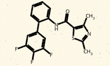 Cc1nc(C)c(C(=O)Nc2ccccc2-c2cc(F)c(F)c(F)c2)s1